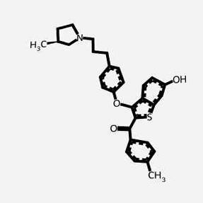 Cc1ccc(C(=O)c2sc3cc(O)ccc3c2Oc2ccc(CCCN3CC[C@H](C)C3)cc2)cc1